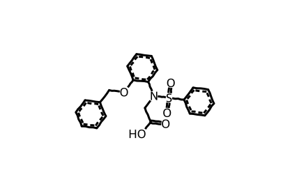 O=C(O)CN(c1ccccc1OCc1ccccc1)S(=O)(=O)c1ccccc1